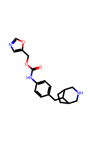 O=C(Nc1ccc(CC2C3CCC2CNC3)cc1)OCc1cnco1